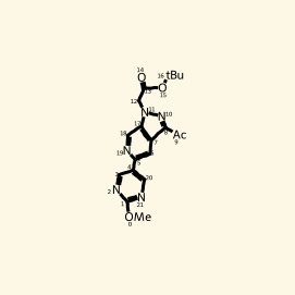 COc1ncc(-c2cc3c(C(C)=O)nn(CC(=O)OC(C)(C)C)c3cn2)cn1